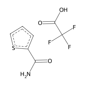 NC(=O)c1cccs1.O=C(O)C(F)(F)F